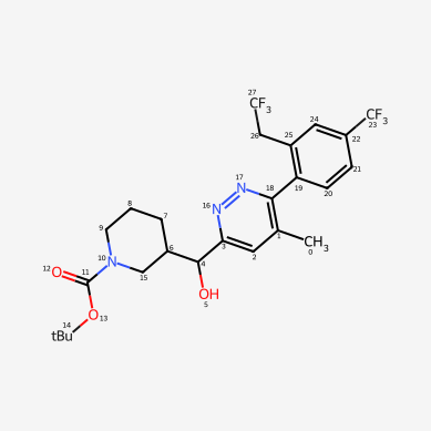 Cc1cc(C(O)C2CCCN(C(=O)OC(C)(C)C)C2)nnc1-c1ccc(C(F)(F)F)cc1CC(F)(F)F